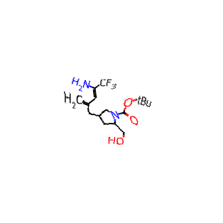 C=C(/C=C(\N)C(F)(F)F)CC1CC(CO)N(C(=O)OC(C)(C)C)C1